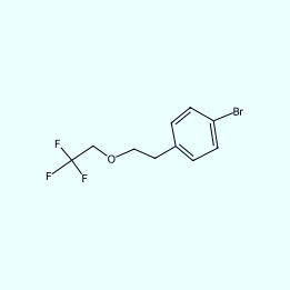 FC(F)(F)COCCc1ccc(Br)cc1